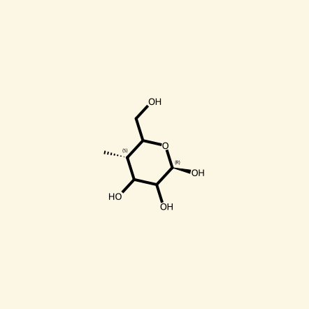 C[C@@H]1C(CO)O[C@@H](O)C(O)C1O